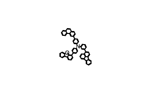 c1cc(-c2ccc3c4c(cccc24)-c2ccccc2-3)cc(N(c2ccc(-c3ccc4ccc5ccccc5c4c3)cc2)c2ccc(-c3cccc4c3oc3ccccc34)cc2)c1